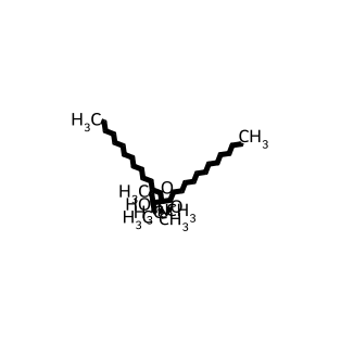 CCCCCCCCCCCCCC(=O)C(C(=O)CCCCCCCCCCCCC)(C(O)(CC)CC)[N+](C)(C)C